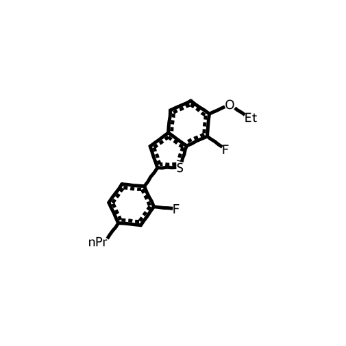 CCCc1ccc(-c2cc3ccc(OCC)c(F)c3s2)c(F)c1